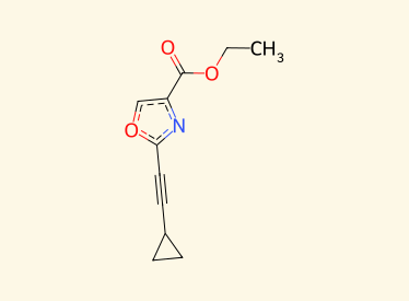 CCOC(=O)c1coc(C#CC2CC2)n1